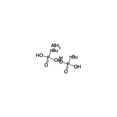 CCCCP(=O)(O)O.CCCCP(=O)(O)O.[AlH3]